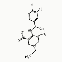 CCN1CC([N+](=O)[O-])=C(NC(C)c2cnc(Cl)c(Cl)c2)N(C)C1